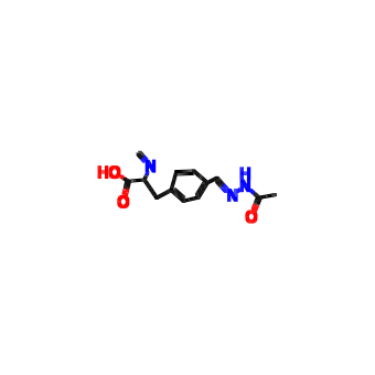 C=NC(Cc1ccc(/C=N/NC(C)=O)cc1)C(=O)O